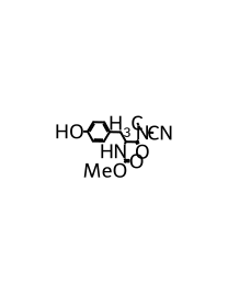 COC(=O)NC(Cc1ccc(O)cc1)C(=O)N(C)C#N